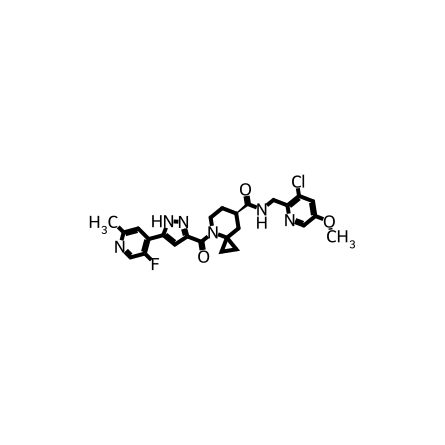 COc1cnc(CNC(=O)[C@@H]2CCN(C(=O)c3cc(-c4cc(C)ncc4F)[nH]n3)C3(CC3)C2)c(Cl)c1